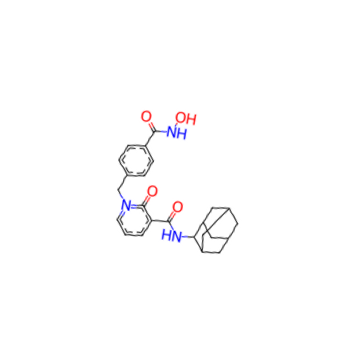 O=C(NO)c1ccc(Cn2cccc(C(=O)NC3C4CC5CC(C4)CC3C5)c2=O)cc1